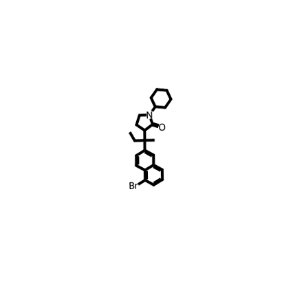 CCC(C)(c1ccc2c(Br)cccc2c1)C1CCN(C2CCCCC2)C1=O